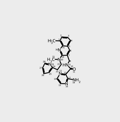 Cc1cccc2cc(CNC(=O)c3nccnc3N)c(N(C)CCc3ccccn3)nc12